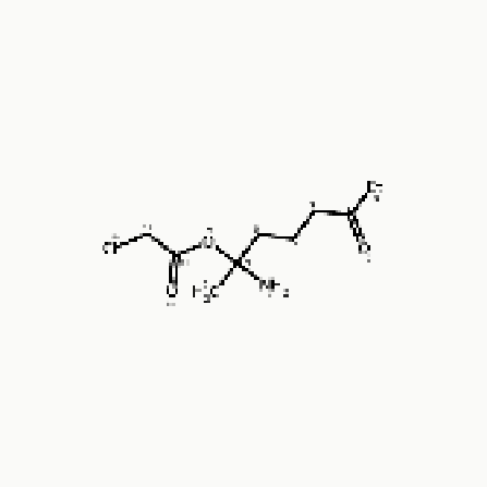 CCC(=O)CCCC(C)(N)OC(=O)CCl